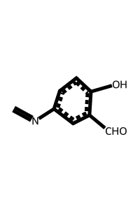 C=Nc1ccc(O)c(C=O)c1